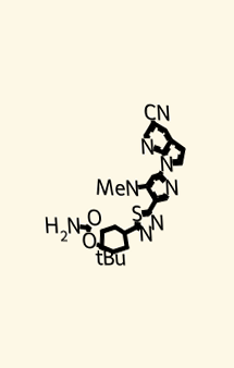 CNc1cc(-n2ccc3cc(C#N)cnc32)ncc1-c1nnc(C2CCC(OC(N)=O)(C(C)(C)C)CC2)s1